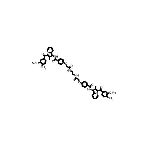 COc1cc(C(=O)c2c(C)c(NC(=O)c3ccc(OCC(=O)NCCNC(=O)COc4ccc(C(=O)Nc5c(C)c(C(=O)c6ccc(N)c(OC)c6)n6ccccc56)cc4)cc3)c3ccccn23)ccc1N